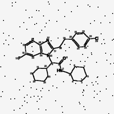 O=C(NC1CCCCC1)C(C1CCCCC1)n1c(CCc2ccc(Cl)cc2)nc2ccc(F)cc21